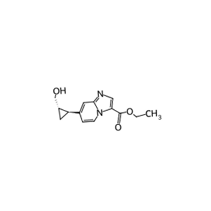 CCOC(=O)c1cnc2cc([C@H]3C[C@@H]3CO)ccn12